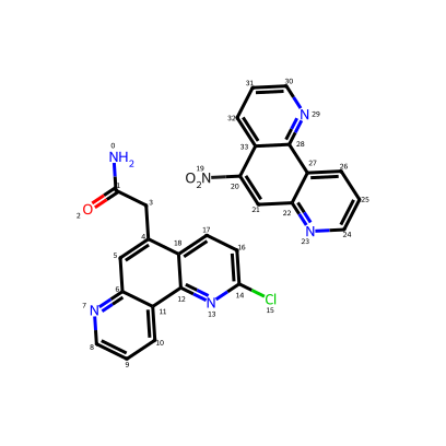 NC(=O)Cc1cc2ncccc2c2nc(Cl)ccc12.O=[N+]([O-])c1cc2ncccc2c2ncccc12